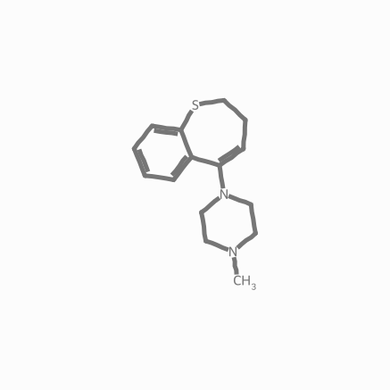 CN1CCN(C2=CCCSc3ccccc32)CC1